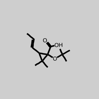 CC=CC1C(C)(C)C1(OC(C)(C)C)C(=O)O